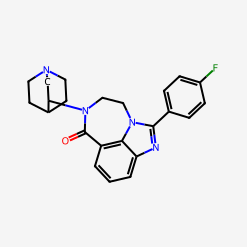 O=C1c2cccc3nc(-c4ccc(F)cc4)n(c23)CCN1C1CN2CCC1CC2